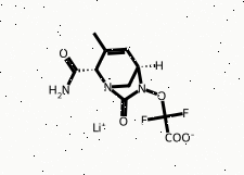 CC1=C[C@@H]2CN(C(=O)N2OC(F)(F)C(=O)[O-])[C@@H]1C(N)=O.[Li+]